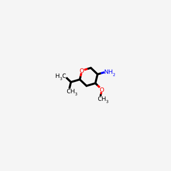 COC1CC(C(C)C)OCC1N